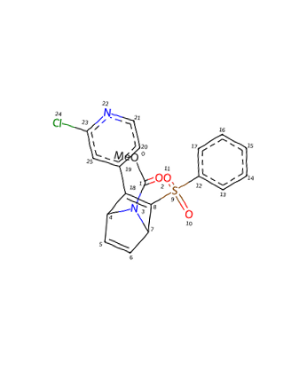 COC(=O)N1C2C=CC1C(S(=O)(=O)c1ccccc1)=C2c1ccnc(Cl)c1